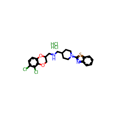 Cl.Cl.Clc1ccc2c(c1Cl)OCC(CNCC1CCN(c3nc4ccccc4s3)CC1)O2